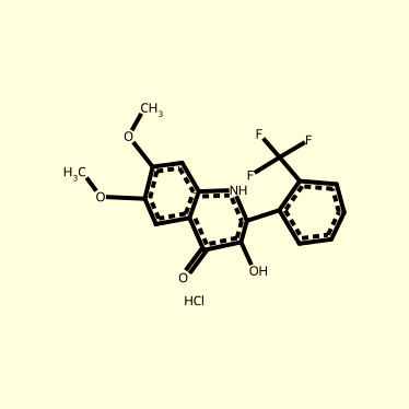 COc1cc2[nH]c(-c3ccccc3C(F)(F)F)c(O)c(=O)c2cc1OC.Cl